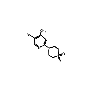 Cc1cc(N2CCS(=O)(=O)CC2)ncc1Br